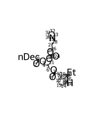 CCCCCCCCCCC(=O)OCC(COC(=O)CC12CCC[C@@H](C[C@@H](CC)C1)C2)COC(=O)OCCCN1CCCC1